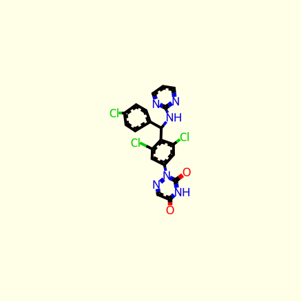 O=c1cnn(-c2cc(Cl)c(C(Nc3ncccn3)c3ccc(Cl)cc3)c(Cl)c2)c(=O)[nH]1